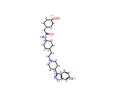 C[C@]1(O)CC[C@@H](CC(=O)NC2CCC(CCN3CCC(c4noc5cc(Cl)ccc45)CC3)CC2)CC1